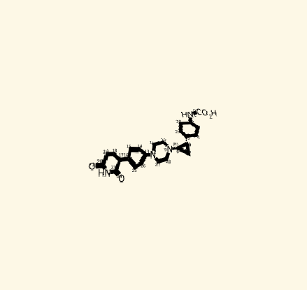 O=C(O)NC1CCC([C@@H]2C[C@H]2N2CCN(c3ccc(C4CCC(=O)NC4=O)cc3)CC2)CC1